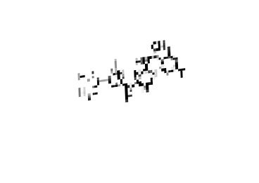 CC(C)c1cc(Nc2ncnc(NC(C)c3ccc(F)cc3)n2)n[nH]1